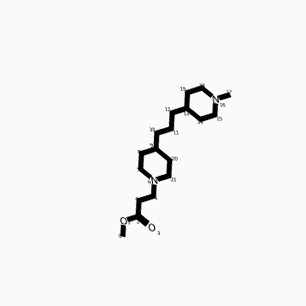 COC(=O)CCN1CCC(CCCC2CCN(C)CC2)CC1